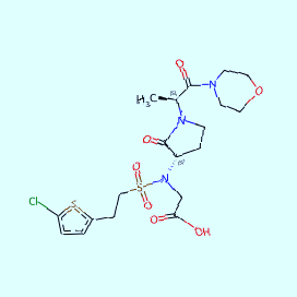 C[C@@H](C(=O)N1CCOCC1)N1CC[C@H](N(CC(=O)O)S(=O)(=O)CCc2ccc(Cl)s2)C1=O